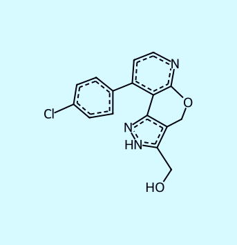 OCc1[nH]nc2c1COc1nccc(-c3ccc(Cl)cc3)c1-2